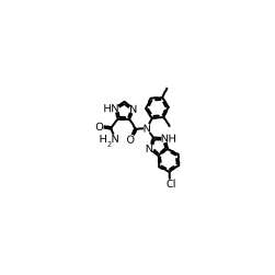 Cc1ccc(N(C(=O)c2nc[nH]c2C(N)=O)c2nc3cc(Cl)ccc3[nH]2)c(C)c1